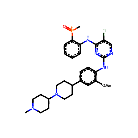 COc1cc(C2CCN(C3CCN(C)CC3)CC2)ccc1Nc1ncc(Cl)c(Nc2ccccc2[PH](C)=O)n1